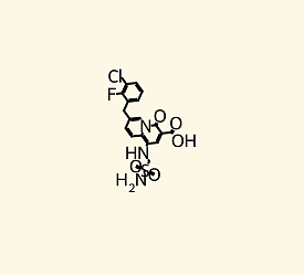 NS(=O)(=O)CNc1cc(C(=O)O)c(=O)n2cc(Cc3cccc(Cl)c3F)ccc12